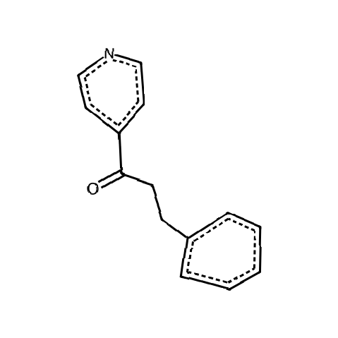 O=C(CCc1ccccc1)c1ccncc1